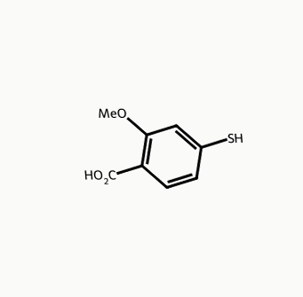 COc1cc(S)ccc1C(=O)O